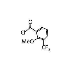 COc1c(C(=O)Cl)cccc1C(F)(F)F